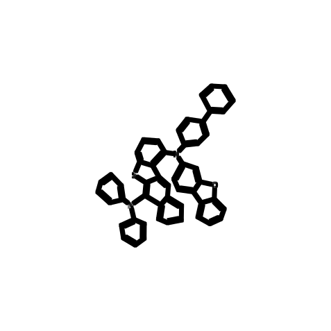 c1ccc(-c2ccc(N(c3ccc4c(c3)oc3ccccc34)c3cccc4sc5c(N(c6ccccc6)c6ccccc6)c6ccccc6cc5c34)cc2)cc1